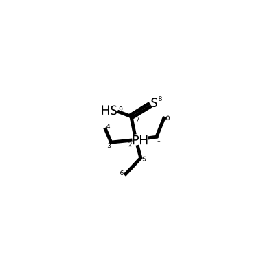 CC[PH](CC)(CC)C(=S)S